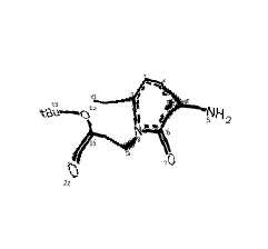 Cc1ccc(N)c(=O)n1CC(=O)OC(C)(C)C